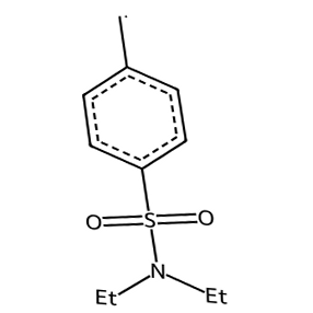 [CH2]c1ccc(S(=O)(=O)N(CC)CC)cc1